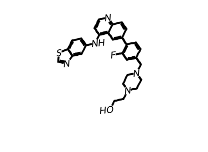 OCCN1CCN(Cc2ccc(-c3ccc4nccc(Nc5ccc6scnc6c5)c4c3)c(F)c2)CC1